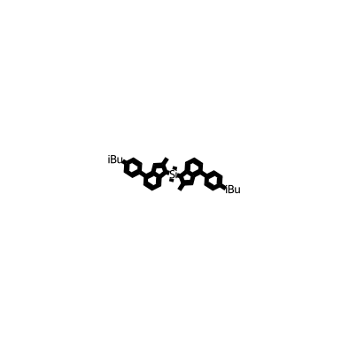 CCC(C)c1ccc(-c2cccc3c2C=C(C)C3[Si](C)(C)C2C(C)=Cc3c(-c4ccc(C(C)CC)cc4)cccc32)cc1